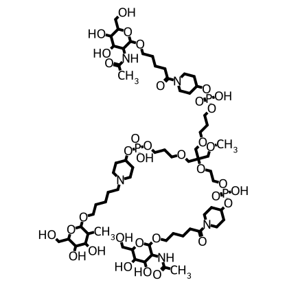 COCC(COCCCOP(=O)(O)OC1CCN(CCCCCOC2OC(CO)C(O)C(O)C2C)CC1)(COCCCOP(=O)(O)OC1CCN(C(=O)CCCCOC2OC(CO)C(O)C(O)C2NC(C)=O)CC1)OCCOP(=O)(O)OC1CCN(C(=O)CCCCOC2OC(CO)C(O)C(O)C2NC(C)=O)CC1